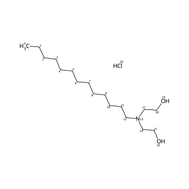 CCCCCCCCCCCCCN(CCO)CCO.Cl